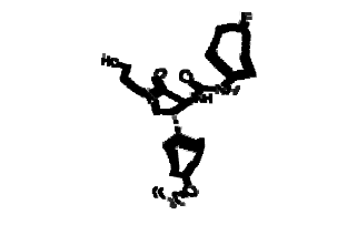 COc1ccc([C@@H]2CN(CCO)C(=O)C2NC(=O)Nc2ccc(F)cc2)cc1